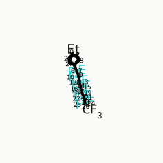 [CH2]Cc1ccc(C(F)(F)C(F)(F)C(F)(F)C(F)(F)C(F)(F)C(F)(F)C(F)(F)C(F)(F)F)cc1